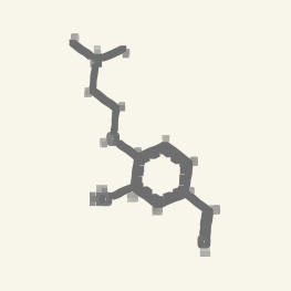 CN(C)CCOc1ccc(C=O)cc1O